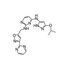 CC(C)Oc1cc(Nc2ccnc(NCc3cc(-c4ncccn4)no3)n2)[nH]n1